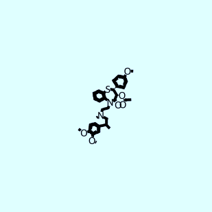 COc1ccc([C@H]2Sc3ccccc3N(CCN(C)CC(C)c3ccc(OC)c(OC)c3)C(=O)[C@H]2OC(C)=O)cc1